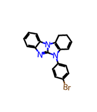 Brc1ccc(-n2c3c(n4c5ccccc5nc24)CCC=C3)cc1